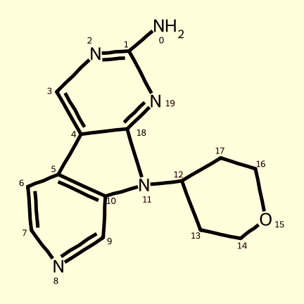 Nc1ncc2c3ccncc3n(C3CCOCC3)c2n1